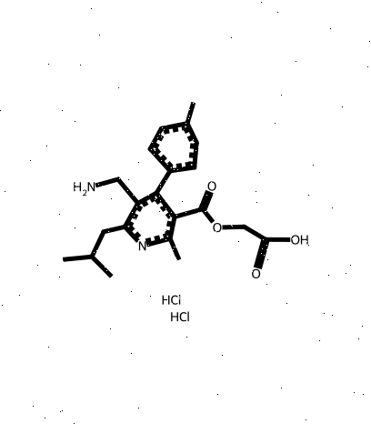 Cc1ccc(-c2c(CN)c(CC(C)C)nc(C)c2C(=O)OCC(=O)O)cc1.Cl.Cl